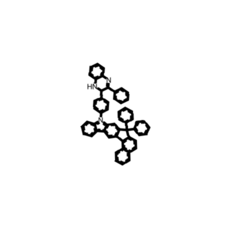 c1ccc(C2=Nc3ccccc3NC2c2ccc(-n3c4ccccc4c4cc5c(cc43)C(c3ccccc3)(c3ccccc3)c3ccc4ccccc4c3-5)cc2)cc1